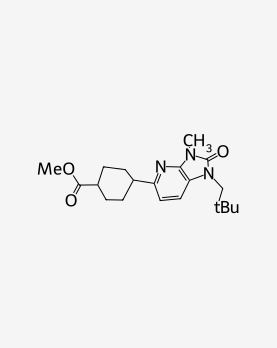 COC(=O)C1CCC(c2ccc3c(n2)n(C)c(=O)n3CC(C)(C)C)CC1